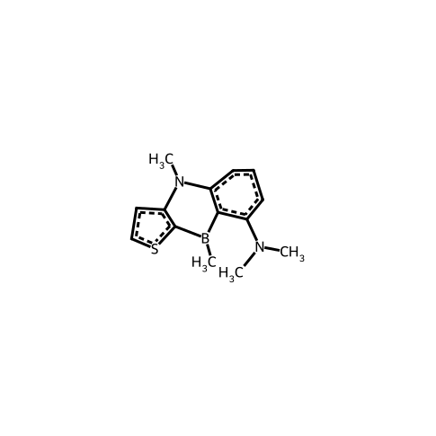 CB1c2sccc2N(C)c2cccc(N(C)C)c21